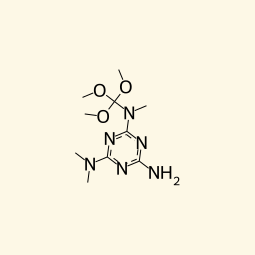 COC(OC)(OC)N(C)c1nc(N)nc(N(C)C)n1